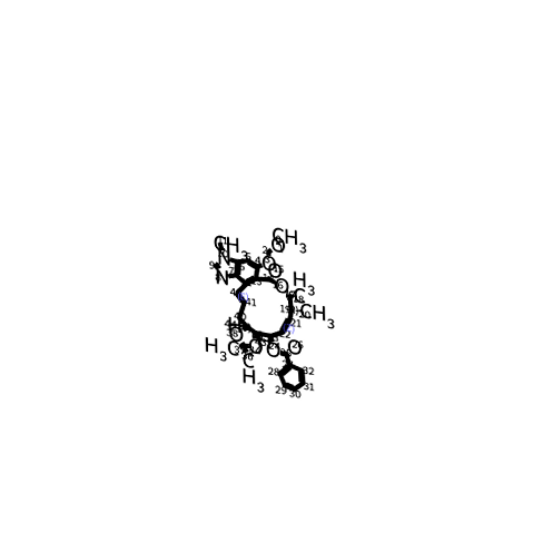 COCOc1cc2c(ncn2C)c2c1C(=O)O[C@@H](C)[C@H](C)/C=C\C(OC(=O)c1ccccc1)[C@H]1OC(C)(C)O[C@H]1C/C=C/2